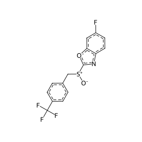 [O-][S+](Cc1ccc(C(F)(F)F)cc1)c1nc2ccc(F)cc2o1